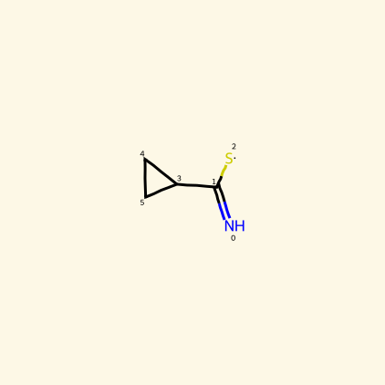 N=C([S])C1CC1